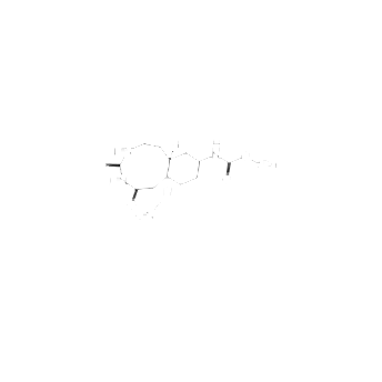 CC(C)(C)OC(=O)NC1CC[C@@H]2[C@H](CCNC(=O)NC(=O)[C@H]2CN=O)C1